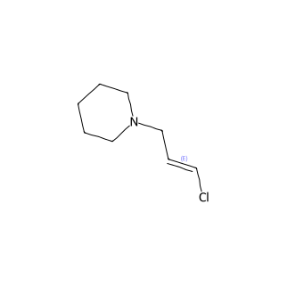 Cl/C=C/CN1CCCCC1